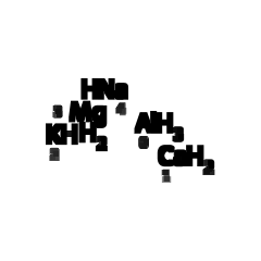 [AlH3].[CaH2].[KH].[MgH2].[NaH]